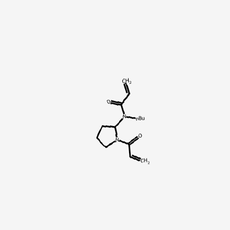 C=CC(=O)N(CCCC)C1CCCN1C(=O)C=C